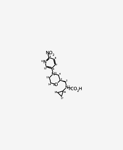 O=C(O)N(C[C@@H]1CN(c2ccc([N+](=O)[O-])nc2)CCO1)C1CC1